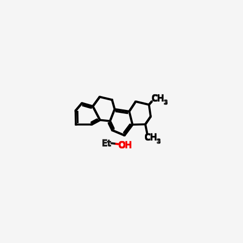 CC1Cc2c(ccc3c2CCc2ccccc2-3)C(C)C1.CCO